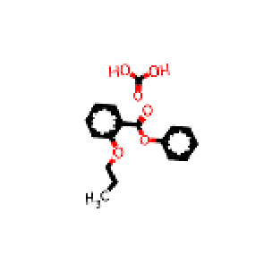 CCCOc1ccccc1C(=O)Oc1ccccc1.O=C(O)O